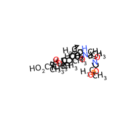 CC1([C@@H]2CC[C@]3(C(=O)N[C@@H]4C[C@H](C(=O)N5CCC(OP(C)(C)=O)CC5)C4(C)C)CC[C@]4(C)[C@H](CC[C@@H]5[C@@]6(C)CC[C@H](OC(=O)[C@H]7C[C@@H](C(=O)O)C7(C)C)C(C)(C)[C@@H]6CC[C@]54C)[C@@H]23)CC1